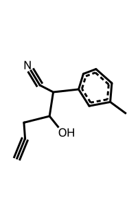 C#CCC(O)C(C#N)c1cccc(C)c1